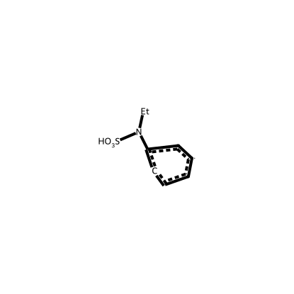 CCN(c1c[c]ccc1)S(=O)(=O)O